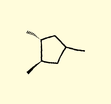 CC1C[C@@H](C)[C@H](C)C1